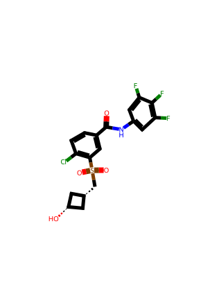 O=C(Nc1cc(F)c(F)c(F)c1)c1ccc(Cl)c(S(=O)(=O)C[C@H]2C[C@@H](O)C2)c1